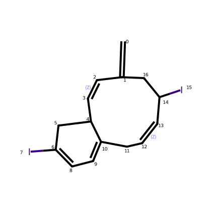 C=C1/C=C\C2CC(I)=CC=C2C/C=C\C(I)C1